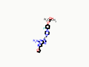 CC(C)(O)COc1ccc(N2CCN(CCn3cnc4c3nc(N)n3nc(-c5ccco5)cc43)CC2)c(F)c1